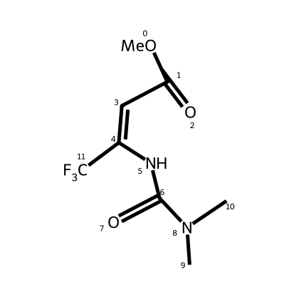 COC(=O)C=C(NC(=O)N(C)C)C(F)(F)F